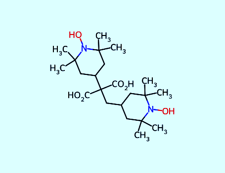 CC1(C)CC(CC(C(=O)O)(C(=O)O)C2CC(C)(C)N(O)C(C)(C)C2)CC(C)(C)N1O